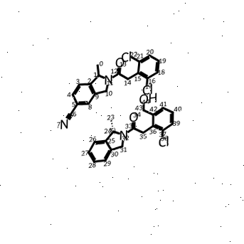 CC1c2ccc(C#N)cc2CN1C(=O)Cc1c(Cl)cccc1Cl.C[C@H]1c2ccccc2CN1C(=O)Cc1c(Cl)cccc1CO